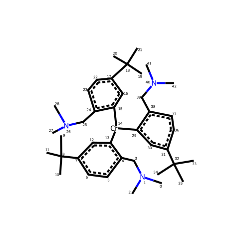 CN(C)Cc1ccc(C(C)(C)C)c[c]1[Cr]([c]1cc(C(C)(C)C)ccc1CN(C)C)[c]1cc(C(C)(C)C)ccc1CN(C)C